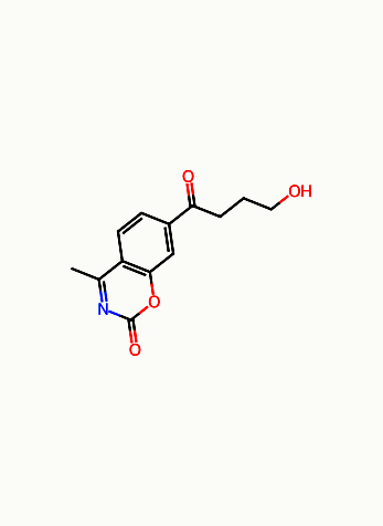 Cc1nc(=O)oc2cc(C(=O)CCCO)ccc12